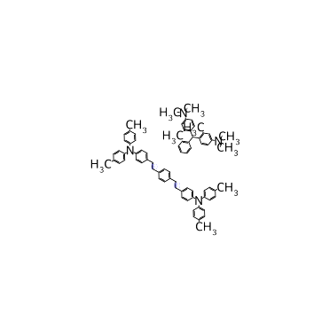 Cc1cc(N(C)C)ccc1C(c1ccccc1)c1ccc(N(C)C)cc1C.Cc1ccc(N(c2ccc(C)cc2)c2ccc(/C=C/c3ccc(/C=C/c4ccc(N(c5ccc(C)cc5)c5ccc(C)cc5)cc4)cc3)cc2)cc1